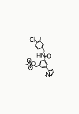 Cc1cc(CNC(=O)c2cc(COS(C)(=O)=O)cc(-c3cccn3C)c2)ccc1Cl